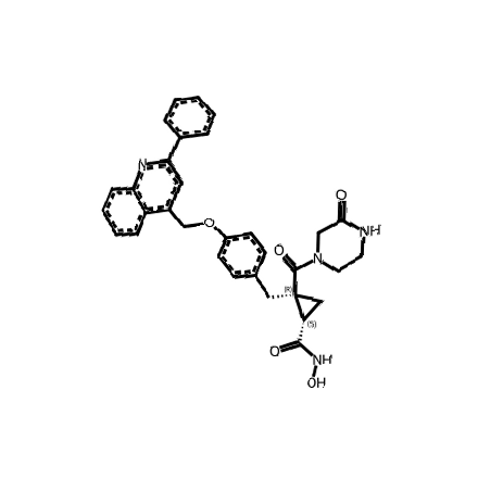 O=C1CN(C(=O)[C@@]2(Cc3ccc(OCc4cc(-c5ccccc5)nc5ccccc45)cc3)C[C@@H]2C(=O)NO)CCN1